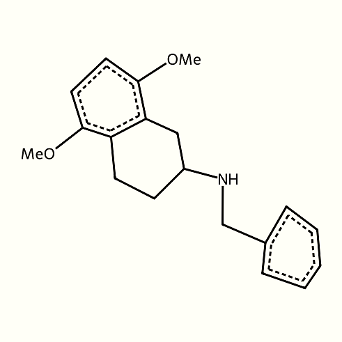 COc1ccc(OC)c2c1CCC(NCc1ccccc1)C2